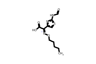 CCCCCO/N=C(/C(=O)O)c1csc(NC=O)n1